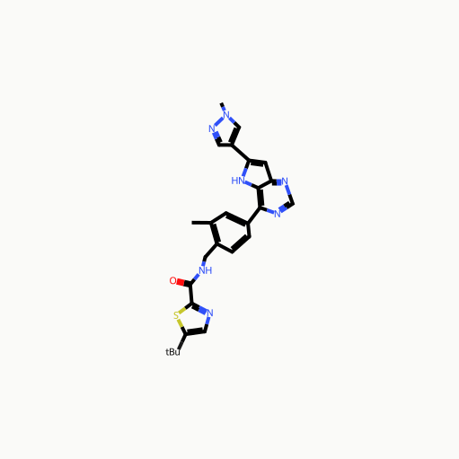 Cc1cc(-c2ncnc3cc(-c4cnn(C)c4)[nH]c23)ccc1CNC(=O)c1ncc(C(C)(C)C)s1